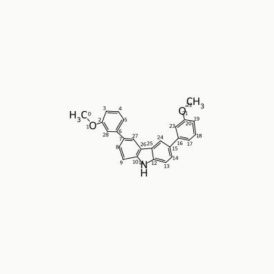 COc1cccc(-c2ccc3[nH]c4ccc(-c5cccc(OC)c5)cc4c3c2)c1